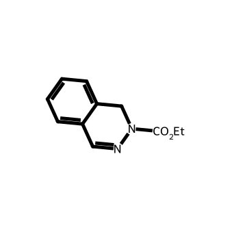 CCOC(=O)N1Cc2ccccc2C=N1